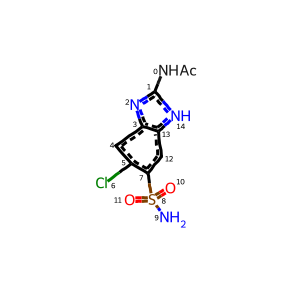 CC(=O)Nc1nc2cc(Cl)c(S(N)(=O)=O)cc2[nH]1